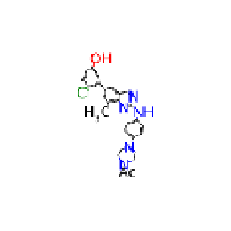 CC(=O)N1CCN(c2ccc(Nc3ncc4cc(-c5cc(O)ccc5Cl)cc(C)c4n3)cc2)CC1